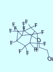 CC1(OCCO)C2(F)C(F)(F)C3(F)C(F)(F)C(F)(C2(F)F)C(F)(F)C1(F)C3(F)F